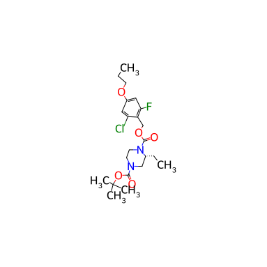 CCCOc1cc(F)c(COC(=O)N2CCN(C(=O)OC(C)(C)C)C[C@H]2CC)c(Cl)c1